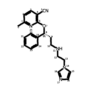 Cc1ccc(C#N)c(O[C@H](CCNCCn2ccnc2)c2ccccc2)n1